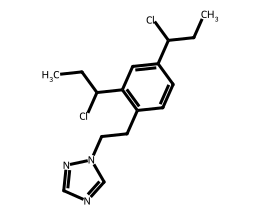 CCC(Cl)c1ccc(CCn2cncn2)c(C(Cl)CC)c1